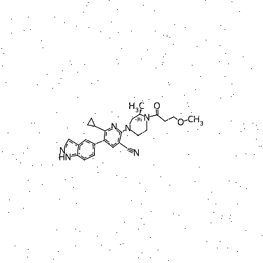 COCCC(=O)N1CCN(c2nc(C3CC3)c(-c3ccc4[nH]ncc4c3)cc2C#N)C[C@H]1C